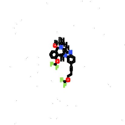 [2H]C([2H])([2H])N1C(=O)c2cccc(OC(F)F)c2[C@H]2C[C@@H]1c1nc3ccc(C#CCCOC(F)F)cc3n12